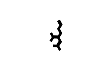 C=CCCC(C=C(C)C)=C(C)C